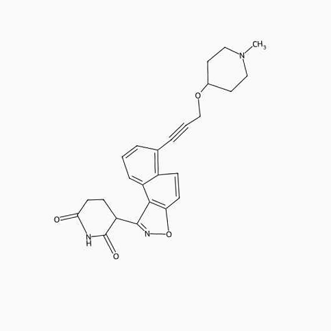 CN1CCC(OCC#Cc2cccc3c2ccc2onc(C4CCC(=O)NC4=O)c23)CC1